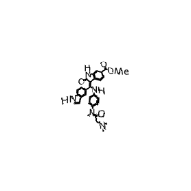 COC(=O)c1ccc2c(c1)NC(=O)C2=C(Nc1ccc(N(C)C(=O)CN(C)C)cc1)c1ccc2[nH]ccc2c1